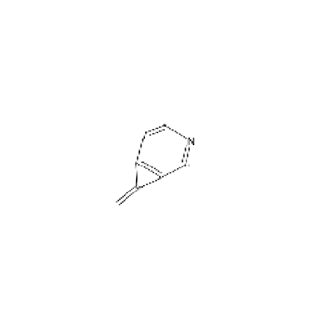 C=C1c2[c]nccc21